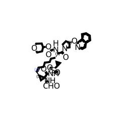 O=CN[C@]1(C(=O)NS(=O)(=O)C2CC2)C[C@H]1/C=C\CCCCC[C@H](NC(=O)OC1CCOCC1)C(=O)N1CC[C@@H](Oc2nccc3ccccc23)C1